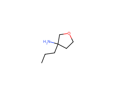 CCCC1(N)CCOC1